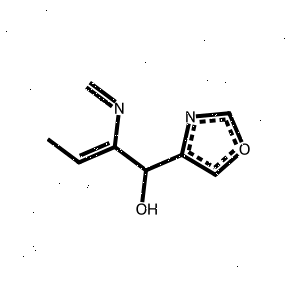 C=N/C(=C\C)C(O)c1cocn1